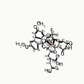 COc1ccc(C(OC2C(NC(=O)C(F)(F)F)[C@@H](n3ccc(=O)[nH]c3=O)O[C@H]2CC(CC(=O)O)C(=O)O)(c2ccccc2)c2ccc(OC)cc2)cc1